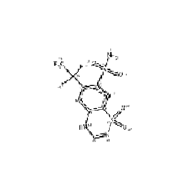 NS(=O)(=O)c1cc2c(cc1C(F)(F)C(F)(F)F)NC=NS2(=O)=O